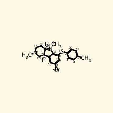 Cc1ccc(Sc2cc(Br)cc3c2N(C)[C@@H]2CCN(C)C[C@@H]32)cc1